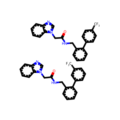 O=C(Cn1cnc2ccccc21)NCc1ccccc1-c1ccc(C(F)(F)F)cc1.O=C(Cn1cnc2ccccc21)NCc1ccccc1-c1cccc(C(F)(F)F)c1